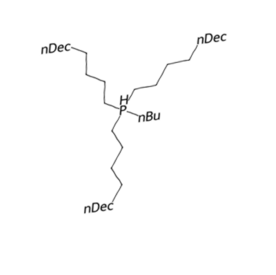 CCCCCCCCCCCCCC[PH](CCCC)(CCCCCCCCCCCCCC)CCCCCCCCCCCCCC